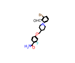 NC(=O)c1ccc(OCC2CCN(c3cccc(Br)c3C=O)CC2)cc1F